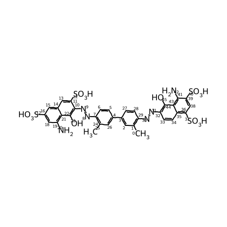 Cc1cc(-c2ccc(N=Nc3c(S(=O)(=O)O)cc4cc(S(=O)(=O)O)cc(N)c4c3O)c(C)c2)ccc1N=Nc1ccc2c(S(=O)(=O)O)cc(S(=O)(=O)O)c(N)c2c1O